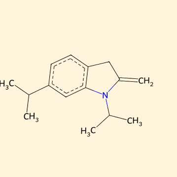 C=C1Cc2ccc(C(C)C)cc2N1C(C)C